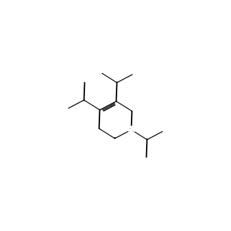 CC(C)C1=C(C(C)C)CN(C(C)C)CC1